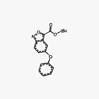 CC(C)(C)OC(=O)c1onc2ccc(Oc3ccccc3)cc12